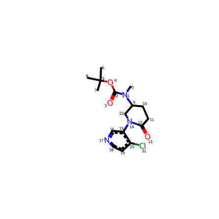 CN(C(=O)OC(C)(C)C)C1CCC(=O)N(c2cnccc2Cl)C1